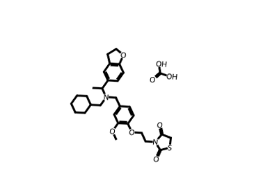 COc1cc(CN(CC2CCCCC2)C(C)c2ccc3c(c2)CCO3)ccc1OCCN1C(=O)CSC1=O.O=C(O)O